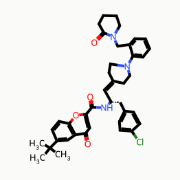 CC(C)(C)c1ccc2oc(C(=O)N[C@H](C=C3CCN(c4ccccc4CN4CCCCC4=O)CC3)Cc3ccc(Cl)cc3)cc(=O)c2c1